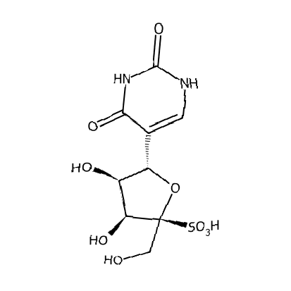 O=c1[nH]cc([C@@H]2O[C@@](CO)(S(=O)(=O)O)[C@@H](O)[C@H]2O)c(=O)[nH]1